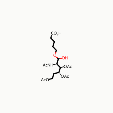 CC(=O)N[C@H]([C@@H](OC(C)=O)[C@@H](CCOC(C)=O)OC(C)=O)[C@H](O)OCCCCC(=O)O